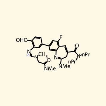 CCCN(CCC)C(=O)C1=Cc2c(F)cc(-c3ccc(C=O)c(/N=C\N(C)CC(=O)NC)c3)cc2N=C(NC)C1